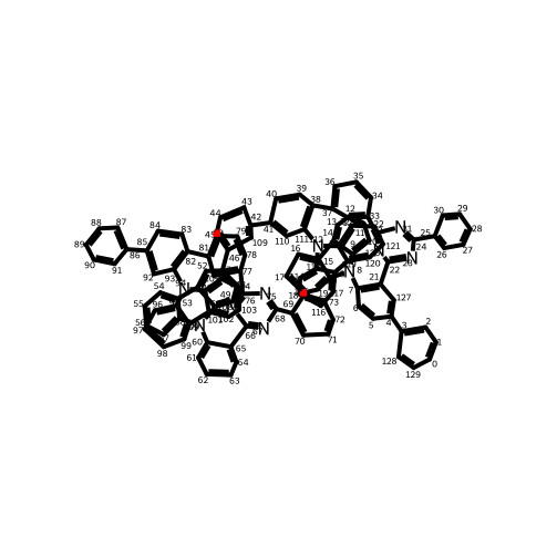 c1ccc(-c2ccc(-n3c4ccccc4c4ccccc43)c(-c3nc(-c4ccccc4)nc(-c4cccc(-c5ccc(-c6cccc(-c7ccc8c(c7)c7ccccc7n8-c7ccccc7-c7nc(-c8ccccc8)nc(-c8cccc(-c9ccc(-c%10ccccc%10)cc9-n9c%10ccccc%10c%10ccccc%109)c8)n7)c6)cc5-n5c6ccccc6c6ccccc65)c4)n3)c2)cc1